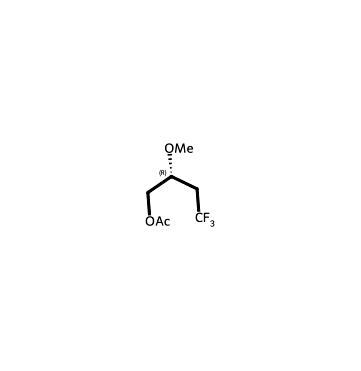 CO[C@@H](COC(C)=O)CC(F)(F)F